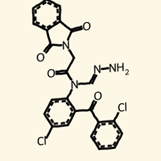 NN=CN(C(=O)CN1C(=O)c2ccccc2C1=O)c1ccc(Cl)cc1C(=O)c1ccccc1Cl